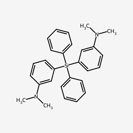 CN(C)c1cccc([Si](c2ccccc2)(c2ccccc2)c2cccc(N(C)C)c2)c1